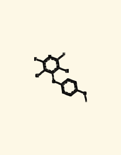 COc1ccc(Oc2c(Cl)c(F)nc(F)c2Cl)cc1